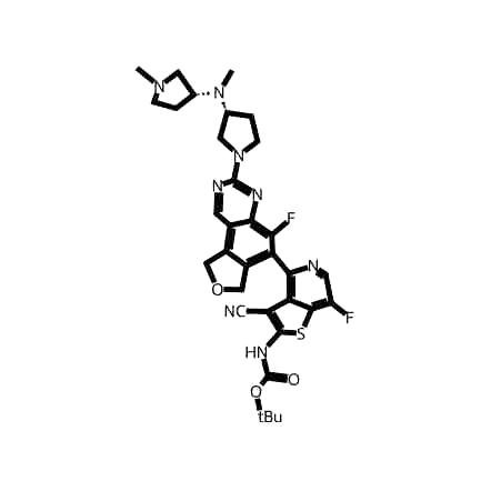 CN1CC[C@@H](N(C)[C@@H]2CCN(c3ncc4c5c(c(-c6ncc(F)c7sc(NC(=O)OC(C)(C)C)c(C#N)c67)c(F)c4n3)COC5)C2)C1